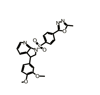 COc1ccc(C2CN(S(=O)(=O)c3ccc(-c4nnc(C)o4)cc3)c3ncccc32)cc1OC